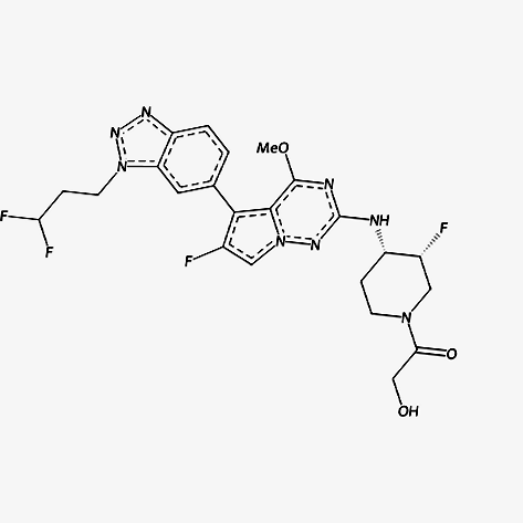 COc1nc(N[C@H]2CCN(C(=O)CO)C[C@H]2F)nn2cc(F)c(-c3ccc4nnn(CCC(F)F)c4c3)c12